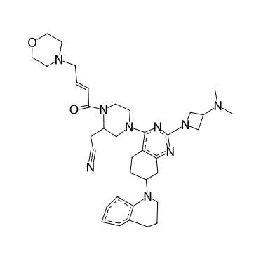 CN(C)C1CN(c2nc3c(c(N4CCN(C(=O)C=CCN5CCOCC5)C(CC#N)C4)n2)CCC(N2CCCc4ccccc42)C3)C1